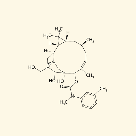 C/C1=C/C[C@H](C)C[C@@H]2[C@H]([C@@H]3C=C(CO)[C@@H](O)[C@@](O)(CC3=O)[C@H]1OC(=O)N(C)c1cccc(C)c1)C2(C)C